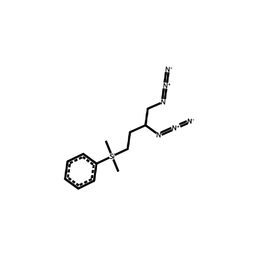 C[Si](C)(CCC(CN=[N+]=[N-])N=[N+]=[N-])c1ccccc1